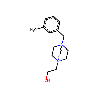 [CH2]c1cccc(C[N+]23CC[N+](CCO)(CC2)CC3)c1